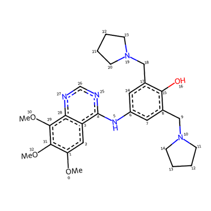 COc1cc2c(Nc3cc(CN4CCCC4)c(O)c(CN4CCCC4)c3)ncnc2c(OC)c1OC